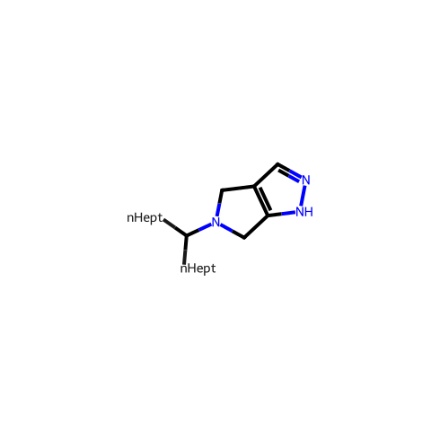 CCCCCCCC(CCCCCCC)N1Cc2cn[nH]c2C1